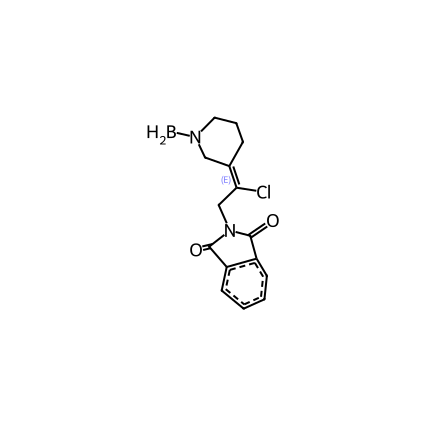 BN1CCC/C(=C(\Cl)CN2C(=O)c3ccccc3C2=O)C1